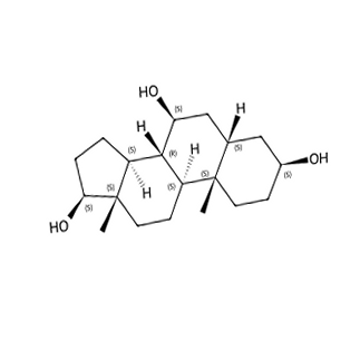 C[C@]12CC[C@H](O)C[C@H]1C[C@H](O)[C@@H]1[C@@H]2CC[C@]2(C)[C@@H](O)CC[C@@H]12